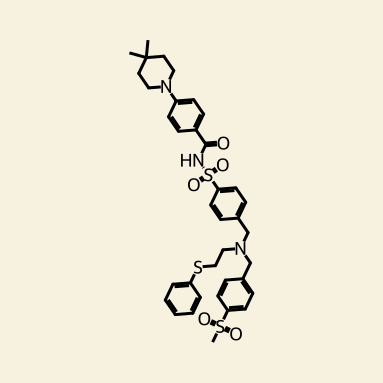 CC1(C)CCN(c2ccc(C(=O)NS(=O)(=O)c3ccc(CN(CCSc4ccccc4)Cc4ccc(S(C)(=O)=O)cc4)cc3)cc2)CC1